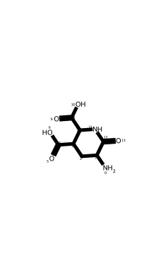 NC1CC(C(=O)O)C(C(=O)O)NC1=O